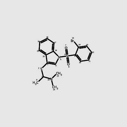 CC(Sc1cn(S(=O)(=O)c2ccccc2Br)c2ccccc12)N(C)C